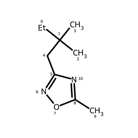 CCC(C)(C)Cc1noc(C)n1